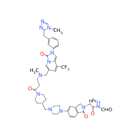 CCCC(C(=O)NC=O)N1Cc2cc(N3CCN(CC4CCN(C(=O)CCN(C)Cc5cc(C(F)(F)F)c6cn(-c7cccc(Cc8nncn8C)c7)c(=O)n6c5)CC4)CC3)ccc2C1=O